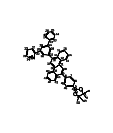 CC1(C)OB(c2ccc(-c3cc4c5ccccc5c(-c5cc(-c6ccccn6)cc(-c6ccccn6)c5)cc4c4ccccc34)cc2)OC1(C)C